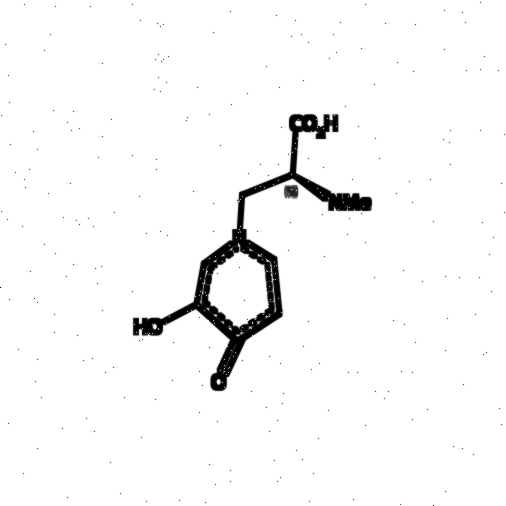 CN[C@@H](Cn1ccc(=O)c(O)c1)C(=O)O